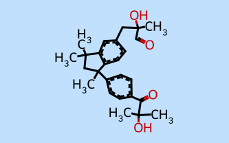 CC(O)(C=O)Cc1ccc2c(c1)C(C)(C)CC2(C)c1ccc(C(=O)C(C)(C)O)cc1